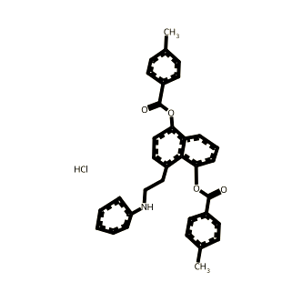 Cc1ccc(C(=O)Oc2ccc(CCNc3ccccc3)c3c(OC(=O)c4ccc(C)cc4)cccc23)cc1.Cl